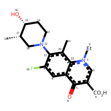 CCn1cc(C(=O)O)c(=O)c2cc(F)c(N3CC[C@@H](O)[C@@H](C)C3)c(C)c21